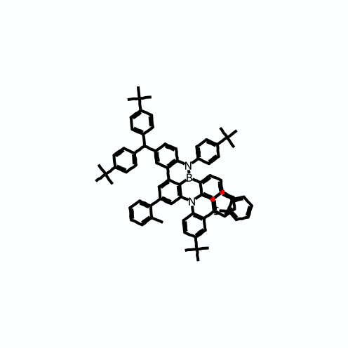 Cc1ccccc1-c1cc2c3c(c1)N(c1ccc(C(C)(C)C)cc1-c1ccccc1)c1c(ccc4c1sc1ccccc14)B3N(c1ccc(C(C)(C)C)cc1)c1ccc(C(c3ccc(C(C)(C)C)cc3)c3ccc(C(C)(C)C)cc3)cc1-2